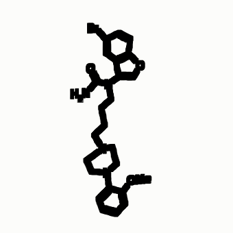 COc1ccccc1N1CCN(CCCCN(C(N)=O)c2coc3ccc(Br)cc23)CC1